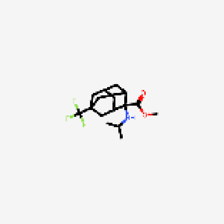 COC(=O)C1(NC(C)C)C2CC3CC1CC(C(F)(F)F)(C3)C2